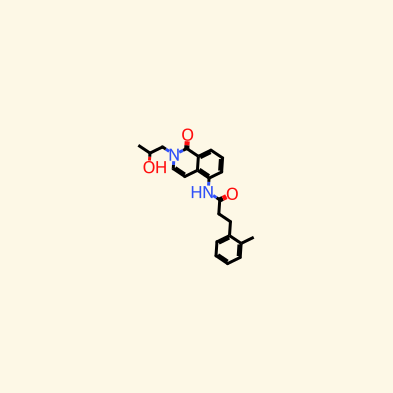 Cc1ccccc1CCC(=O)Nc1cccc2c(=O)n(CC(C)O)ccc12